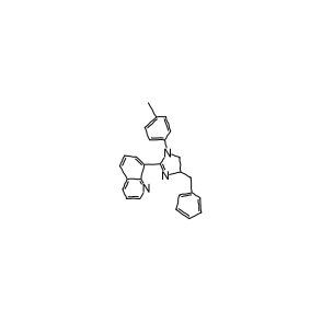 Cc1ccc(N2CC(Cc3ccccc3)N=C2c2cccc3cccnc23)cc1